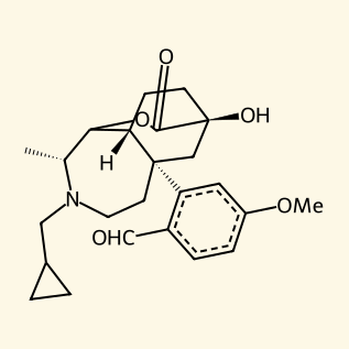 COc1ccc(C=O)c([C@]23CCN(CC4CC4)[C@H](C)C4OC(=O)[C@](O)(CC[C@@H]42)C3)c1